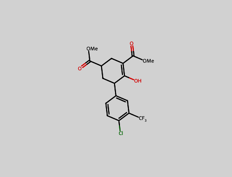 COC(=O)C1=C(O)C(c2ccc(Cl)c(C(F)(F)F)c2)CC(C(=O)OC)C1